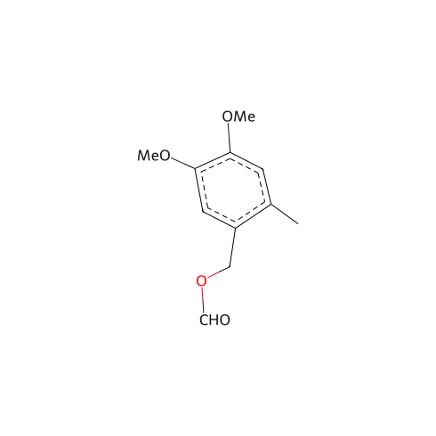 COc1cc(C)c(COC=O)cc1OC